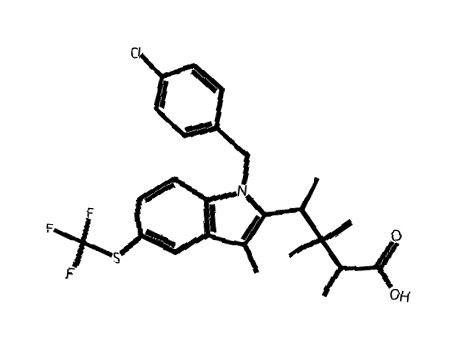 Cc1c(C(C)C(C)(C)C(C)C(=O)O)n(Cc2ccc(Cl)cc2)c2ccc(SC(F)(F)F)cc12